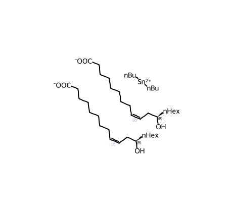 CCCCCC[C@@H](O)C/C=C\CCCCCCCC(=O)[O-].CCCCCC[C@@H](O)C/C=C\CCCCCCCC(=O)[O-].CCC[CH2][Sn+2][CH2]CCC